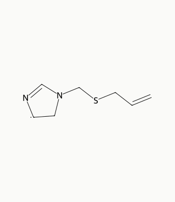 C=CCSCN1C=N[CH]C1